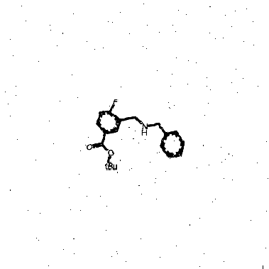 CC(C)(C)OC(=O)c1ccc(F)c(CNCc2ccccc2)c1